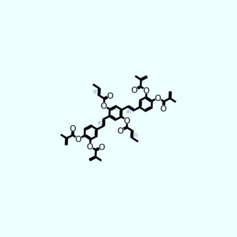 C=C(C)C(=O)Oc1ccc(/C=C/c2cc(OC(=O)/C=C/C)c(/C=C/c3ccc(OC(=O)C(=C)C)c(OC(=O)C(=C)C)c3)cc2OC(=O)/C=C/C)cc1OC(=O)C(=C)C